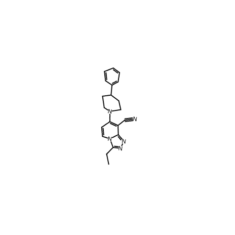 CCc1nnc2c(C#N)c(N3CCC(c4ccccc4)CC3)ccn12